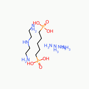 N.N.N.N.NCCNCCN.O=P(O)(O)CCCCCP(=O)(O)O